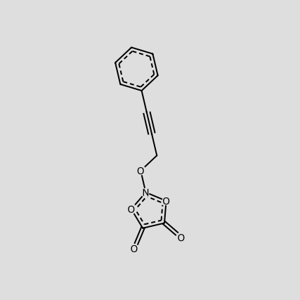 O=c1on(OCC#Cc2ccccc2)oc1=O